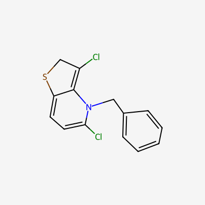 ClC1=CC=C2SCC(Cl)=C2N1Cc1ccccc1